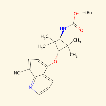 CC(C)(C)OC(=O)N[C@H]1C(C)(C)[C@H](Oc2ccc(C#N)c3ncccc23)C1(C)C